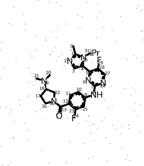 Cc1ncc(-c2nc(Nc3ccc(C(=O)N4CC[C@@H](N(C)C)C4)c(F)c3)ncc2F)n1C(C)C